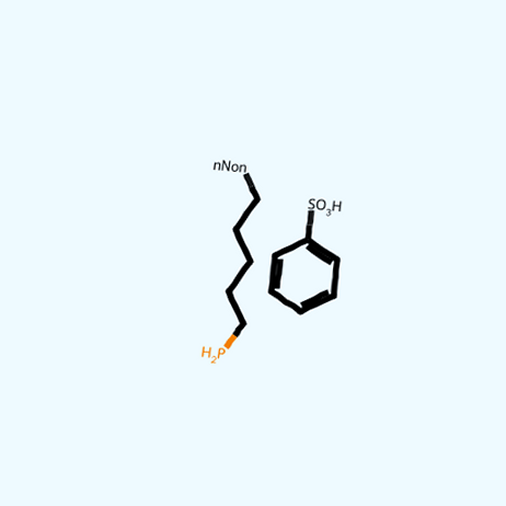 CCCCCCCCCCCCCCP.O=S(=O)(O)c1ccccc1